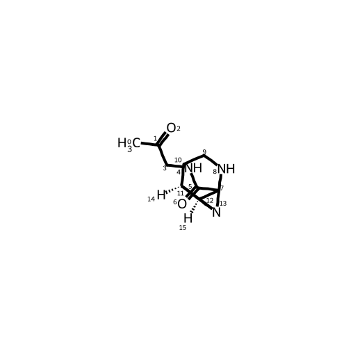 CC(=O)CNC(=O)C12NCC[C@H]3[C@@H]1N32